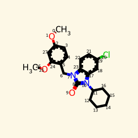 COc1ccc(Cn2c(=O)n(C3CCCCC3)c3cc(Cl)ccc32)c(OC)c1